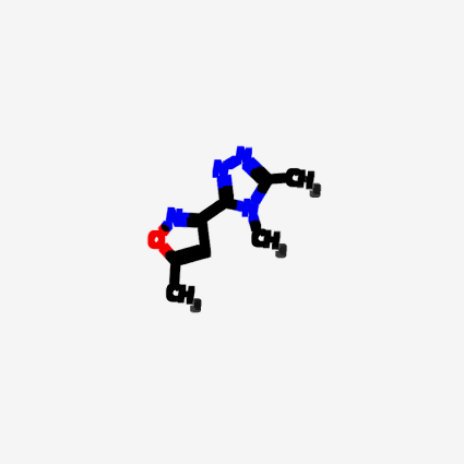 Cc1cc(-c2nnc(C)n2C)no1